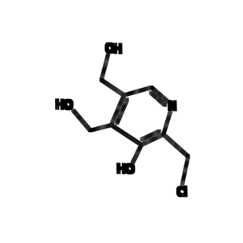 OCc1cnc(CCl)c(O)c1CO